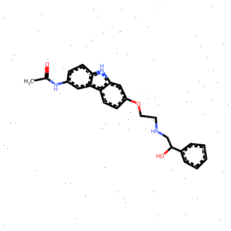 CC(=O)Nc1ccc2[nH]c3cc(OCCNCC(O)c4ccccc4)ccc3c2c1